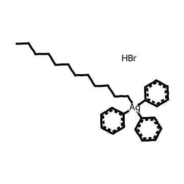 Br.CCCCCCCCCCC[CH2][Ag]([c]1ccccc1)([c]1ccccc1)[c]1ccccc1